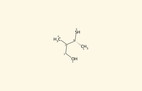 CC(CO)[C@@H](C)S